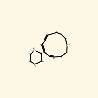 C1=CC=CCCCCCCC=C1.C1COCCO1